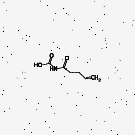 C=CCCC(=O)NC(=O)O